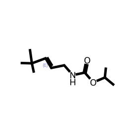 CC(C)OC(=O)NC/C=C/C(C)(C)C